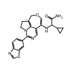 NC(=O)C(NC1=COCC2=C3C1=CN=C(c1ccc4ncsc4c1)N3CC2)C1CC1